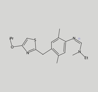 CCN(C)/C=N\c1cc(C)c(Cc2nc(OC(C)C)cs2)cc1C